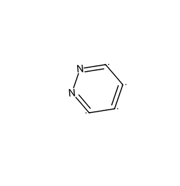 [c]1[c][c]nn[c]1